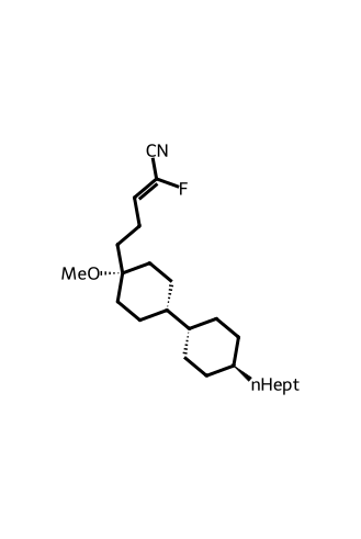 CCCCCCC[C@H]1CC[C@H]([C@H]2CC[C@@](CCC=C(F)C#N)(OC)CC2)CC1